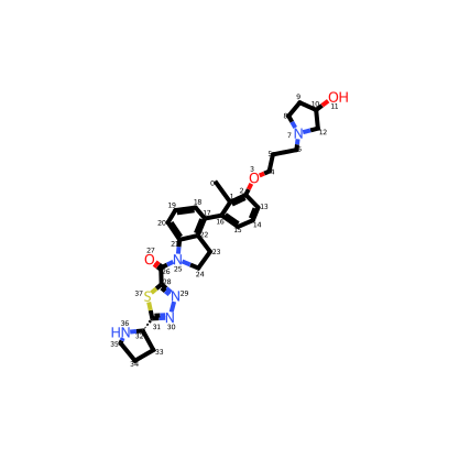 Cc1c(OCCCN2CCC(O)C2)cccc1-c1cccc2c1CCN2C(=O)c1nnc([C@@H]2CCCN2)s1